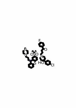 CN1CCN(CC/C=C2/c3ccccc3Sc3ccc(S(=O)(=O)N(C)C)cc32)CC1.O=C(CCCN1CCC(O)(c2ccc(Cl)cc2)CC1)c1ccc(F)cc1